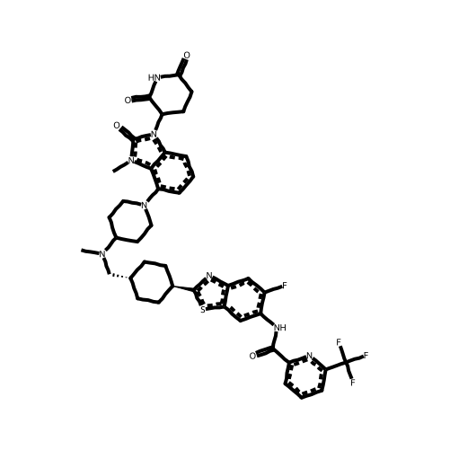 CN(C[C@H]1CC[C@H](c2nc3cc(F)c(NC(=O)c4cccc(C(F)(F)F)n4)cc3s2)CC1)C1CCN(c2cccc3c2n(C)c(=O)n3C2CCC(=O)NC2=O)CC1